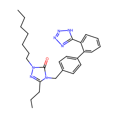 CCCCCCCn1nc(CCC)n(Cc2ccc(-c3ccccc3-c3nnn[nH]3)cc2)c1=O